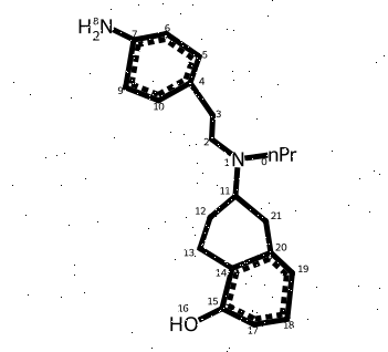 CCCN(CCc1ccc(N)cc1)C1CCc2c(O)cccc2C1